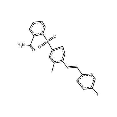 Cc1cc(S(=O)(=O)c2ccccc2C(N)=O)ccc1/C=C/c1ccc(F)cc1